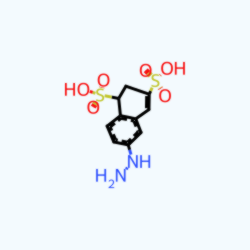 NNc1ccc2c(c1)C=C(S(=O)(=O)O)CC2S(=O)(=O)O